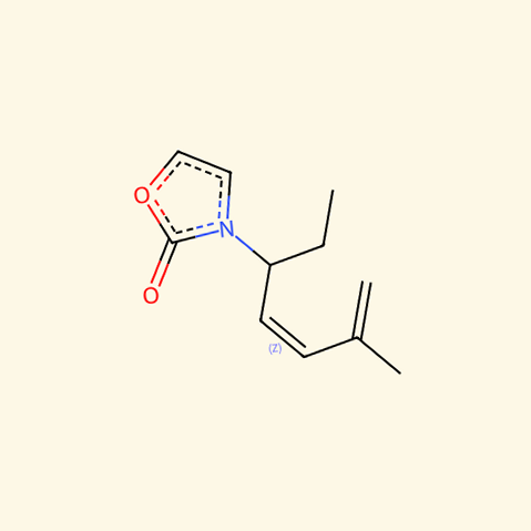 C=C(C)/C=C\C(CC)n1ccoc1=O